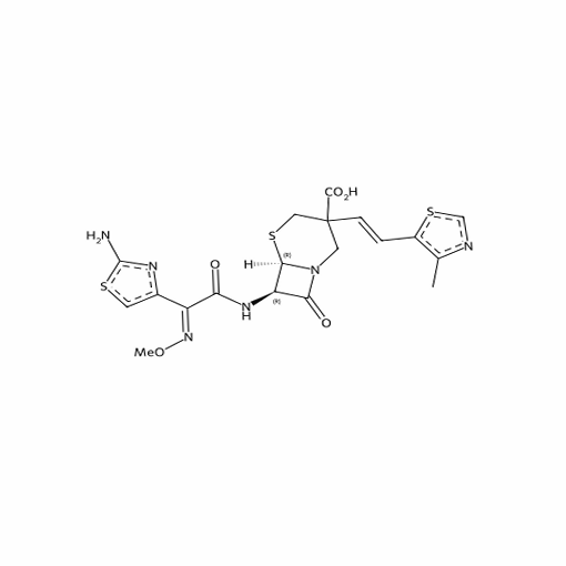 CON=C(C(=O)N[C@@H]1C(=O)N2CC(C=Cc3scnc3C)(C(=O)O)CS[C@H]12)c1csc(N)n1